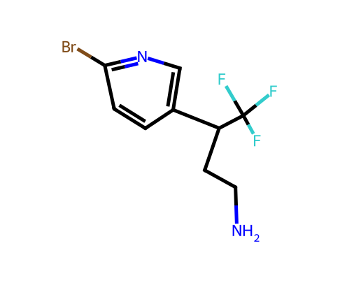 NCCC(c1ccc(Br)nc1)C(F)(F)F